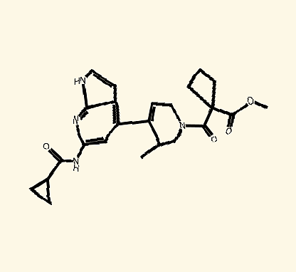 COC(=O)C1(C(=O)N2CC=C(c3cc(NC(=O)C4CC4)nc4[nH]ccc34)C(C)C2)CCC1